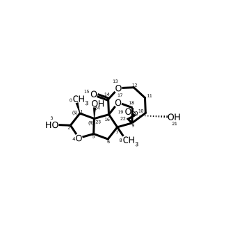 C[C@@H]1C(O)OC2CC3(C)C45CCCOC(=O)C3(OC4O[C@H](O)C5)[C@]21O